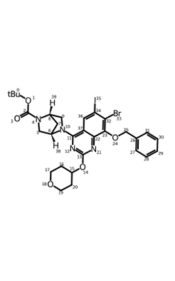 CC(C)(C)OC(=O)N1C[C@@H]2C[C@H]1CN2c1nc(OC2CCOCC2)nc2c(OCc3ccccc3)c(Br)c(I)cc12